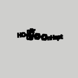 C#CC(=O)C(CCC)OC(=O)c1ccc([C@H]2CC[C@H](CCCCCCC)CC2)cc1